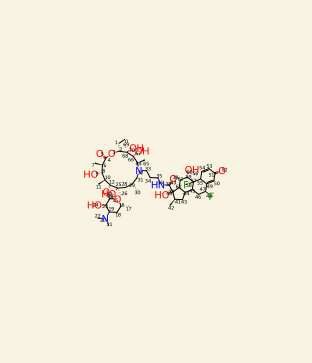 CC[C@H]1OC(=O)[C@H](C)[C@@H](O)[C@H](C)[C@@H](O[C@@H]2O[C@H](C)C[C@@H](N(C)C)[C@H]2O)[C@](C)(O)C[C@@H](C)CN(CCCNC(=O)[C@@]2(O)[C@H](C)CC3C4C[C@H](F)C5=CC(=O)C=C[C@]5(C)[C@@]4(F)[C@@H](O)C[C@@]32C)[C@H](C)[C@@H](O)[C@]1(C)O